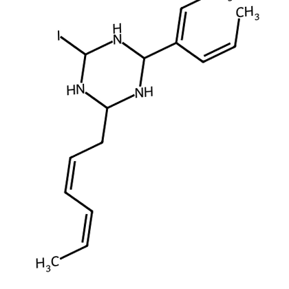 C/C=C\C=C/CC1NC(I)NC(C(/C=C\C)=C/C)N1